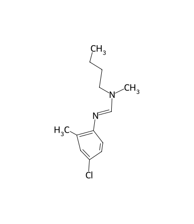 CCCCN(C)C=Nc1ccc(Cl)cc1C